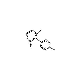 Cc1ccc(-n2c(C)cncc2=O)cc1